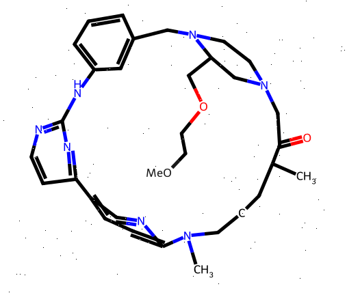 COCCOCC1CN2CCN1Cc1cccc(c1)Nc1nccc(n1)-c1ccc(nc1)N(C)CCCC(C)C(=O)C2